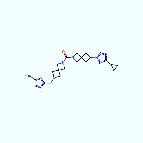 CC(C)(C)c1c[nH]c(CN2CC3(C2)CN(C(=O)N2CC4(CC(n5cnc(C6CC6)n5)C4)C2)C3)n1